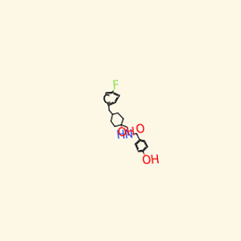 O=C(NCC1(O)CCC(Cc2ccc(F)cc2)CC1)c1ccc(O)cc1